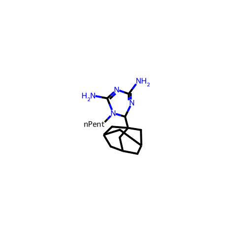 CCCCCN1C(N)=NC(N)=NC1C12CC3CC(CC(C3)C1)C2